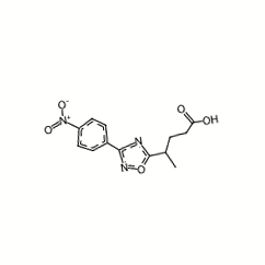 CC(CCC(=O)O)c1nc(-c2ccc([N+](=O)[O-])cc2)no1